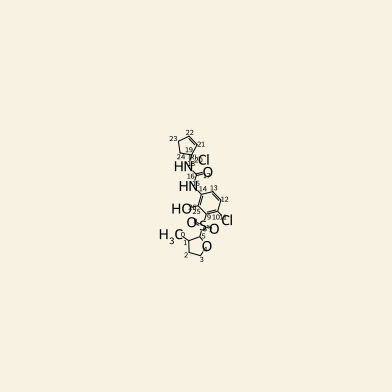 CC1CCOC1S(=O)(=O)c1c(Cl)ccc(NC(=O)N[C@]2(Cl)C=CCC2)c1O